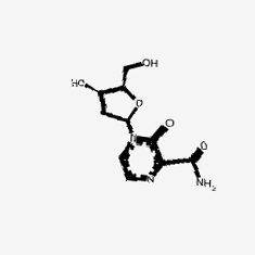 NC(=O)c1nccn(C2C[C@@H](O)[C@@H](CO)O2)c1=O